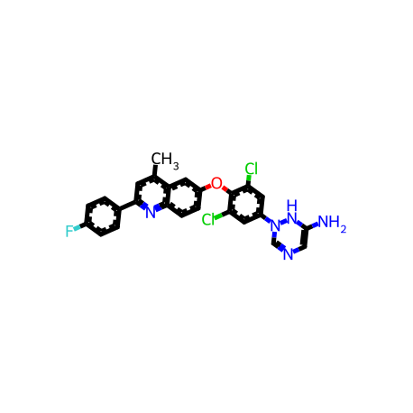 Cc1cc(-c2ccc(F)cc2)nc2ccc(Oc3c(Cl)cc(N4C=NC=C(N)N4)cc3Cl)cc12